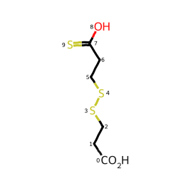 O=C(O)CCSSCCC(O)=S